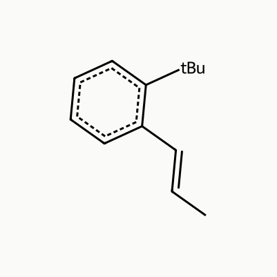 CC=Cc1ccccc1C(C)(C)C